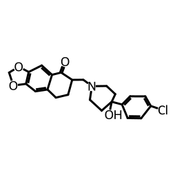 O=C1c2cc3c(cc2CCC1CN1CCC(O)(c2ccc(Cl)cc2)CC1)OCO3